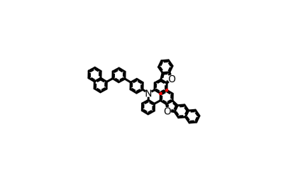 c1cc(-c2ccc(N(c3ccc4oc5ccccc5c4c3)c3ccccc3-c3cccc4c3oc3cc5ccccc5cc34)cc2)cc(-c2cccc3ccccc23)c1